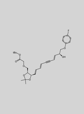 CC(C)(C)OC(=O)COC[C@@H]1OC(C)(C)O[C@@H]1C=CC=CC#CC=C[C@H](O)COc1ccc(F)cc1